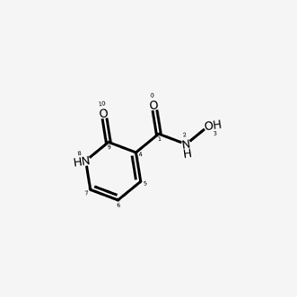 O=C(NO)c1ccc[nH]c1=O